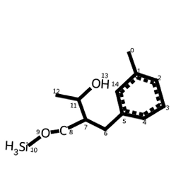 Cc1cccc(CC(CO[SiH3])C(C)O)c1